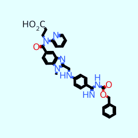 Cn1c(CNc2ccc(C(=N)NC(=O)OCc3ccccc3)cc2)nc2cc(C(=O)N(CCC(=O)O)c3ccccn3)ccc21